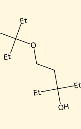 CCC(O)(CC)CCOC(C)(CC)CC